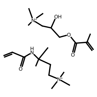 C=C(C)C(=O)OCC(O)C[N+](C)(C)C.C=CC(=O)NC(C)(C)CC[N+](C)(C)C